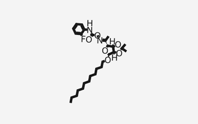 CCCCCCCCCCCCO[C@H]1O[C@H](/C(C)=N/OC(=O)Nc2ccccc2F)[C@@H]2OC(C)(C)O[C@H]12